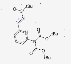 CC(C)(C)OC(=O)N(C(=O)OC(C)(C)C)c1cccc(/C=N/[S+]([O-])C(C)(C)C)n1